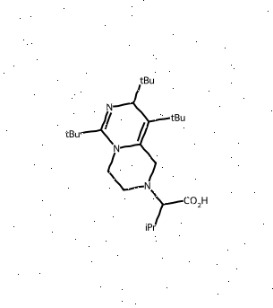 CC(C)C(C(=O)O)N1CCN2C(C(C)(C)C)=NC(C(C)(C)C)C(C(C)(C)C)=C2C1